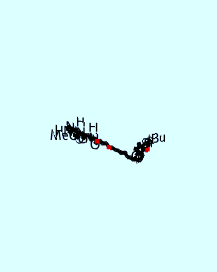 COC(=O)C(Cc1c[nH]cn1)NC(=O)CCNC(=O)CCCCCCCCCCCC[C@]1(C)CCc2c(C)c(O[Si](C)(C)C(C)(C)C)c(C)c(C)c2O1